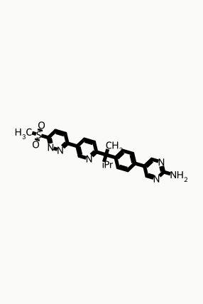 CC(C)C(C)(c1ccc(-c2cnc(N)nc2)cc1)c1ccc(-c2ccc(S(C)(=O)=O)nn2)cn1